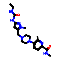 CCNC(=O)Nc1cc(CN2CCN(c3ccc(C(=O)NC)nc3C)CC2)n(C)n1